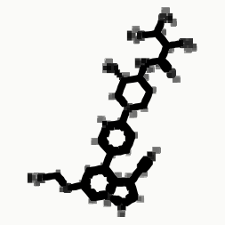 CCOc1cc(-c2ccc(N3CC[C@H](NC(=O)C(C)C(C)C)[C@@H](O)C3)nc2)c2c(C#N)cnn2c1